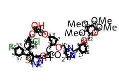 CCOC(=O)[C@H]1Cc2cc(ccc2OCc2ccnc(-c3cccc(OC[C@H]4O[C@H](OC)[C@@H](OC)[C@@H](OC)[C@@H]4OC)c3)n2)OC[C@@H](CO)Oc2ccc(c(C)c2Cl)-c2c(-c3ccc(F)cc3)sc3ncnc(c23)O1